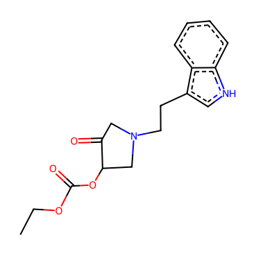 CCOC(=O)OC1CN(CCc2c[nH]c3ccccc23)CC1=O